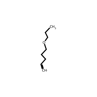 [CH]=CCCCOCCC